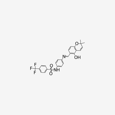 CC1(C)C=Cc2c(ccc(/C=N/c3ccc(NS(=O)(=O)c4ccc(C(F)(F)F)cc4)cc3)c2O)O1